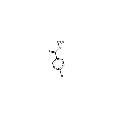 O=C(O)NC(=S)c1ccc(Br)cc1